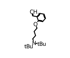 C=Cc1ccccc1OCCCCN(C(C)(C)C)C(C)(C)C